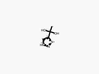 CC(O)(O)c1c[nH]nn1